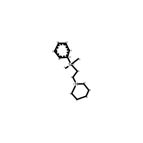 C[Si](C)(CCN1CCCCC1)c1ccccc1